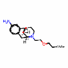 COCCOCCN1CC[C@]23CCCC[C@H]2[C@H]1Cc1ccc(N)cc13